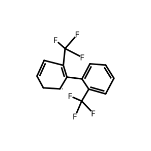 FC(F)(F)C1=C(c2ccccc2C(F)(F)F)[CH]CC=C1